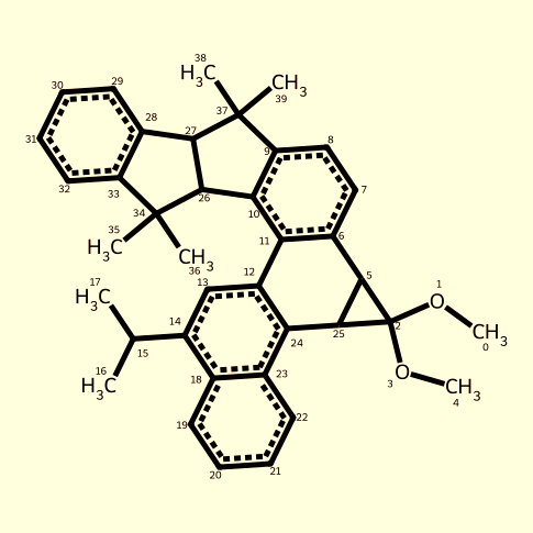 COC1(OC)C2c3ccc4c(c3-c3cc(C(C)C)c5ccccc5c3C21)C1C(c2ccccc2C1(C)C)C4(C)C